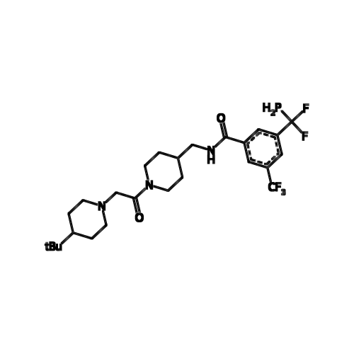 CC(C)(C)C1CCN(CC(=O)N2CCC(CNC(=O)c3cc(C(F)(F)F)cc(C(F)(F)P)c3)CC2)CC1